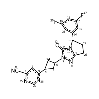 N#Cc1cc(C2CC(n3nc4n(c3=O)[C@H](c3cc(F)cc(F)c3)CC4)C2)ncn1